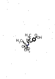 CCCCN1C(=O)N(C)C(=O)/C1=C/c1cnc(CCC)n1Cc1ccc(C(=O)O)cc1